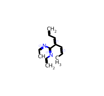 C=C/C=C(/C=C\C)C(\N=C/C)=N\C=C